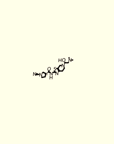 CN(C)CC(O)N1CCc2nc(NC(=O)[C@H]3CCN(C#N)C3)sc2C1